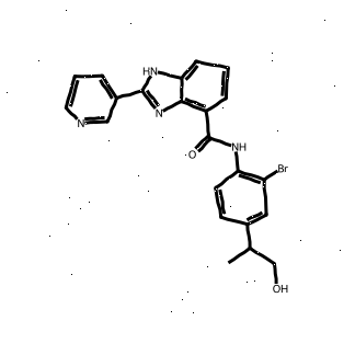 CC(CO)c1ccc(NC(=O)c2cccc3[nH]c(-c4cccnc4)nc23)c(Br)c1